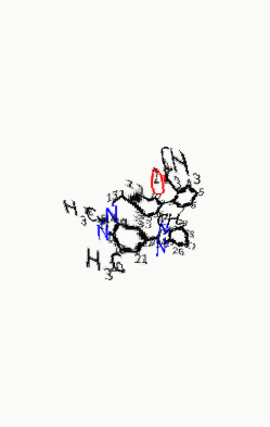 CC(=O)c1ccccc1-c1ccc(Cn2c(C)nc3c(C)cc(-c4nc5ccccc5n4C)cc32)cc1